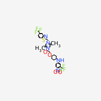 C[C@@H]1CN(Cc2nc3cc(C(F)(F)F)ccc3s2)[C@@H](C)CN1C(=O)CO[C@H]1CC[C@H](Nc2ccc([N+](=O)[O-])c(C(F)(F)F)c2)CC1